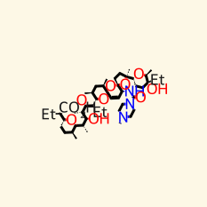 CCC(C(=O)[C@@H](C)[C@@H](O)[C@H](C)[C@@H]1O[C@@H]([C@@H](CC)C(=O)O)CC[C@@H]1C)[C@H]1O[C@]2(C=C[C@@H](NC(=O)N3CCN(C)CC3)[C@]3(CC[C@@](C)([C@H]4CC[C@](O)(CC)[C@H](C)O4)O3)O2)[C@H](C)C[C@@H]1C